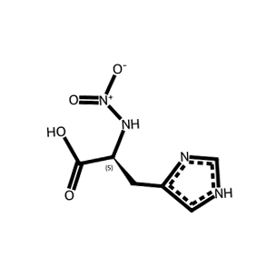 O=C(O)[C@H](Cc1c[nH]cn1)N[N+](=O)[O-]